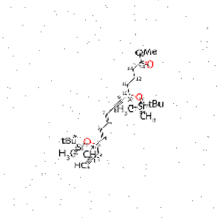 C#CC[C@H](C=CC=CC#C[C@H](CCCC(=O)OC)O[Si](C)(C)C(C)(C)C)O[Si](C)(C)C(C)(C)C